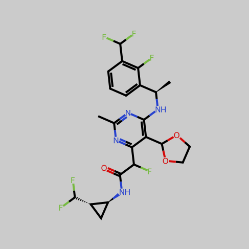 Cc1nc(N[C@H](C)c2cccc(C(F)F)c2F)c(C2OCCO2)c(C(F)C(=O)N[C@H]2C[C@@H]2C(F)F)n1